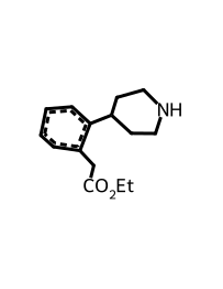 CCOC(=O)Cc1ccccc1C1CCNCC1